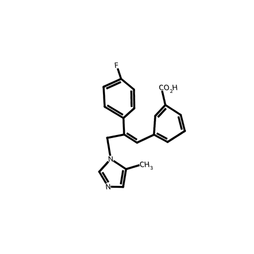 Cc1cncn1CC(=Cc1cccc(C(=O)O)c1)c1ccc(F)cc1